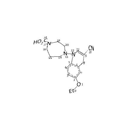 CCOc1ccc2c(c1)CC(C#N)=CN2N1CCCN(C(=O)O)CC1